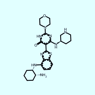 N[C@@H]1CCCC[C@@H]1Nc1cccc2sc(-c3c(N[C@@H]4CCCNC4)nc(N4CCOCC4)[nH]c3=O)nc12